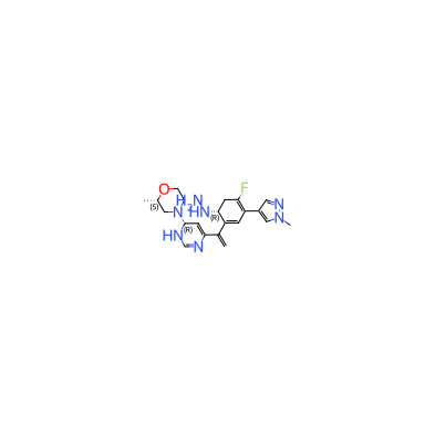 C=C(C1=C[C@@H](N2CCO[C@@H](C)C2)NC=N1)C1=CC(c2cnn(C)c2)=C(F)C[C@H]1NN